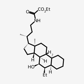 CCOC(=O)C(=O)NCC[C@@H](C)[C@H]1CC[C@H]2[C@@H]3[C@H](O)[C@H](CC)[C@@H]4CCCC[C@]4(C)[C@H]3CC[C@]12C